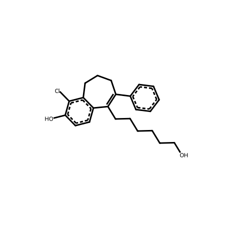 OCCCCCCC1=C(c2ccccc2)CCCc2c1ccc(O)c2Cl